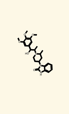 COc1cc(C(O)C(C)N2CCC(n3c(=O)[nH]c4ccccc43)CC2C)cc(OC)c1OC